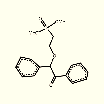 COP(=O)(CCOC(C(=O)c1ccccc1)c1ccccc1)OC